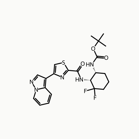 CC(C)(C)OC(=O)N[C@@H]1CCCC(F)(F)[C@@H]1NC(=O)c1nc(-c2cnn3ccccc23)cs1